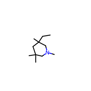 CCC1(C)CN(C)CC(C)(C)C1